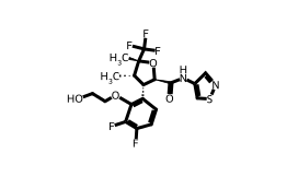 C[C@H]1[C@@H](c2ccc(F)c(F)c2OCCO)[C@H](C(=O)Nc2cnsc2)O[C@@]1(C)C(F)(F)F